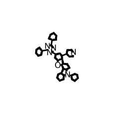 c1ccc(-c2nc(-c3ccccc3)nc(-c3cc(-c4ccncc4)c4c(c3)oc3c4ccc4c3c3ccccc3n4-c3ccccc3)n2)cc1